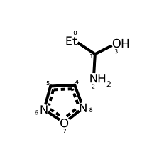 CCC(N)O.c1cnon1